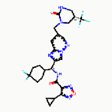 O=C(N[C@H](c1cn2ncc(CN3C[C@@H](C(F)(F)F)CNC3=O)cc2n1)C1CCC(F)(F)CC1)c1nonc1C1CC1